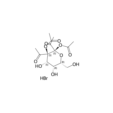 Br.CC(=O)O[C@@]1(C(C)=O)O[C@H](CO)[C@H](O)[C@H](O)[C@]1(OC(C)=O)C(C)=O